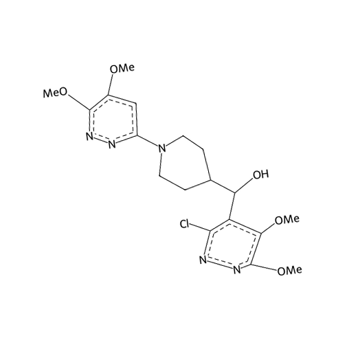 COc1cc(N2CCC(C(O)c3c(Cl)nnc(OC)c3OC)CC2)nnc1OC